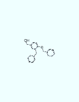 OCc1ccc(OCc2ccccc2)c(Cc2ccccc2)c1